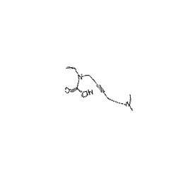 CCN(CC#CCN(C)C)C(=O)O